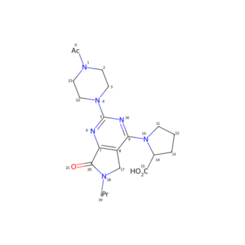 CC(=O)N1CCN(c2nc3c(c(N4CCCC4C(=O)O)n2)CN(C(C)C)C3=O)CC1